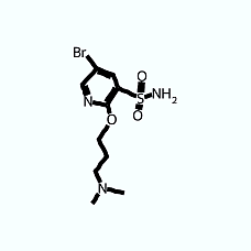 CN(C)CCCOc1ncc(Br)cc1S(N)(=O)=O